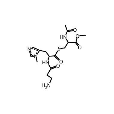 COC(=O)C(CSC(=O)C(Cc1cncn1C)NC(=O)CCN)NC(C)=O